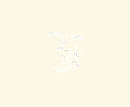 CCOC(=O)c1cnn(-c2cccc(C)n2)c1S(=O)(=O)NC(=O)Nc1nc(OC)cc(OC)n1